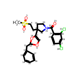 CS(=O)(=O)CCC1(C2=COC(Cc3ccccc3)O2)CCN(C(=O)c2ccc(Cl)cc2Cl)C1